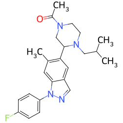 CC(=O)N1CCN(CC(C)C)C(c2cc3cnn(-c4ccc(F)cc4)c3cc2C)C1